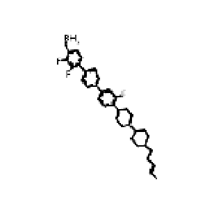 BCc1ccc(-c2ccc(-c3ccc(C4=CCC(C5CCC(CC/C=C/C)CC5)CC4)c(F)c3)cc2)c(F)c1F